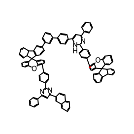 C1=CC2c3ccccc3C3(c4ccccc4Oc4c(-c5ccc(C6N=C(c7ccccc7)C=C(c7ccc(-c8cccc(-c9ccc%10c(c9)C9C=CC=CC9C%109c%10ccccc%10Oc%10c(-c%11ccc(-c%12nc(-c%13ccccc%13)cc(-c%13ccc%14ccccc%14c%13)n%12)cc%11)cccc%109)c8)cc7)N6)cc5)cccc43)C2C=C1